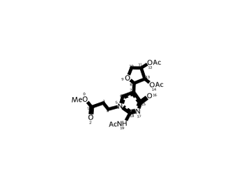 COC(=O)CCn1cc(C2OCC(OC(C)=O)C2OC(C)=O)c(=O)nc1NC(C)=O